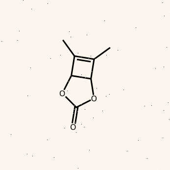 CC1=C(C)C2OC(=O)OC12